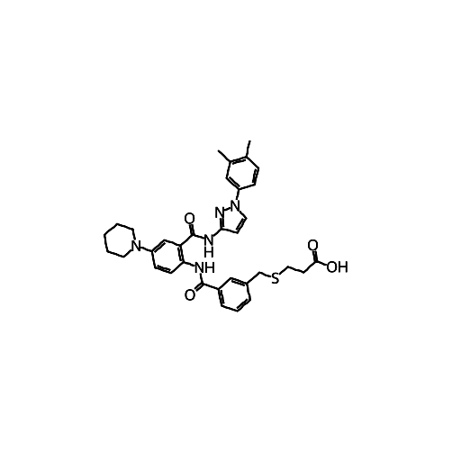 Cc1ccc(-n2ccc(NC(=O)c3cc(N4CCCCC4)ccc3NC(=O)c3cccc(CSCCC(=O)O)c3)n2)cc1C